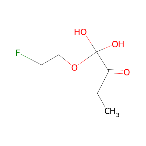 CCC(=O)C(O)(O)OCCF